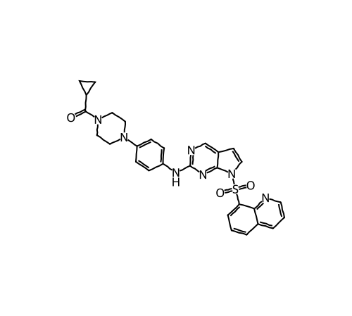 O=C(C1CC1)N1CCN(c2ccc(Nc3ncc4ccn(S(=O)(=O)c5cccc6cccnc56)c4n3)cc2)CC1